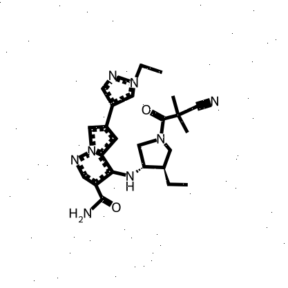 CC[C@@H]1CN(C(=O)C(C)(C)C#N)C[C@H]1Nc1c(C(N)=O)cnn2cc(-c3cnn(CC)c3)cc12